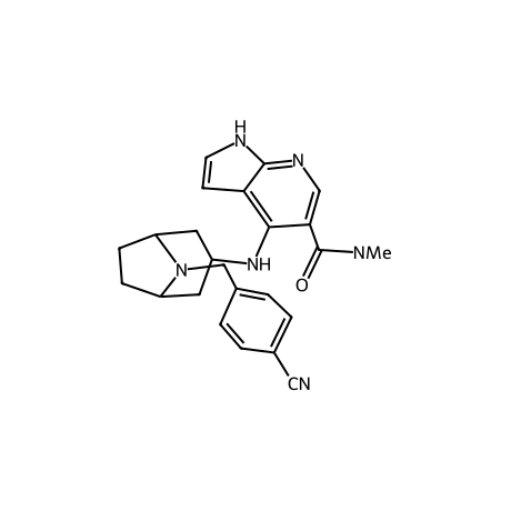 CNC(=O)c1cnc2[nH]ccc2c1NC1CC2CCC(C1)N2Cc1ccc(C#N)cc1